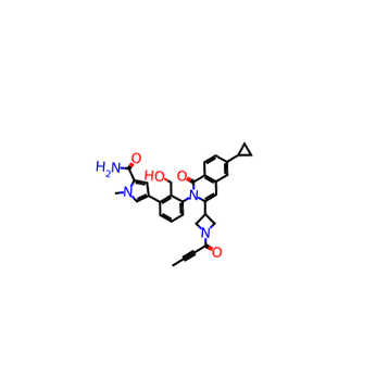 CC#CC(=O)N1CC(c2cc3cc(C4CC4)ccc3c(=O)n2-c2cccc(-c3cc(C(N)=O)n(C)c3)c2CO)C1